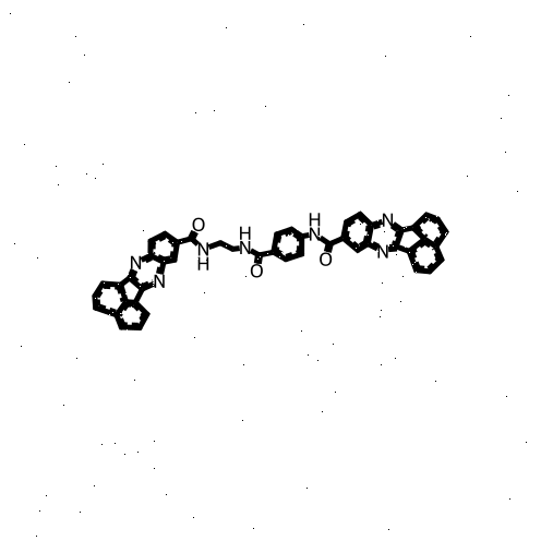 O=C(NCCNC(=O)c1ccc2nc3c(nc2c1)-c1cccc2cccc-3c12)c1ccc(NC(=O)c2ccc3nc4c(nc3c2)-c2cccc3cccc-4c23)cc1